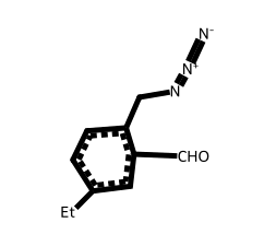 CCc1ccc(CN=[N+]=[N-])c(C=O)c1